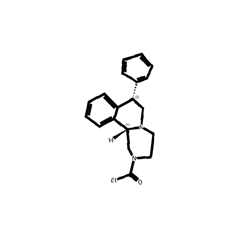 CCC(=O)N1CCN2C[C@@H](c3ccccc3)c3ccccc3[C@H]2C1